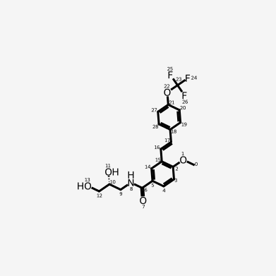 COc1ccc(C(=O)NC[C@@H](O)CO)cc1/C=C/c1ccc(OC(F)(F)F)cc1